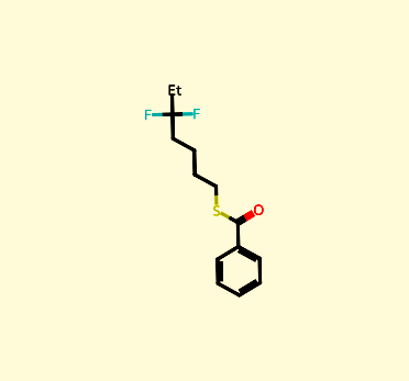 CCC(F)(F)CCCCSC(=O)c1ccccc1